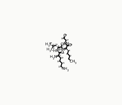 CCCCC[C@@H](NC(O)[C@@H](CC(C)C)NC(=O)[C@H](N)CCCCN)C(=O)NCC=O